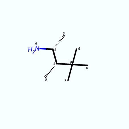 C[C@H]([C@@H](C)N)C(C)(C)C